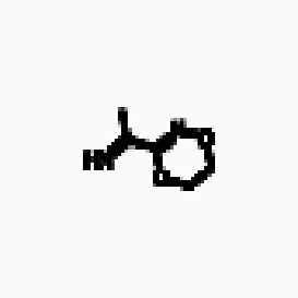 CC(=N)C1=NOCCO1